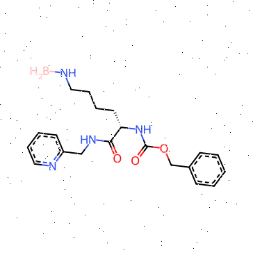 BNCCCC[C@H](NC(=O)OCc1ccccc1)C(=O)NCc1ccccn1